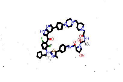 Cc1ncsc1-c1ccc(CNC(=O)[C@@H]2C[C@@H](O)CN2C(O)[C@@H](NC(=O)CN2CCC(CN3CCN(c4ccc(-c5cnc6[nH]cc(C(=O)c7c(F)ccc(NC(C8CCCC8)C(F)(F)F)c7F)c6c5)cc4)CC3)CC2)C(C)(C)C)cc1